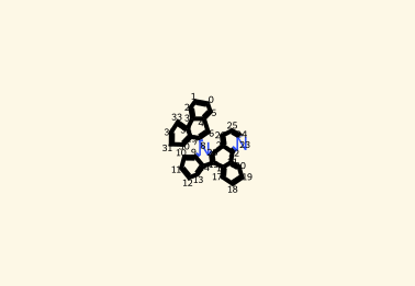 c1ccc2c(c1)cc(-n1c3ccccc3c3c4ccccc4c4ncccc4c31)c1ccccc12